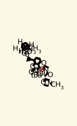 CN1CCO[C@H](CC(=O)N2CC(Oc3ccc(C4CC4B4O[C@@H]5C[C@@H]6C[C@@H](C6(C)C)[C@]5(C)O4)c(OC(=O)OC(C)(C)C)c3C(=O)OC(C)(C)C)C2)C1